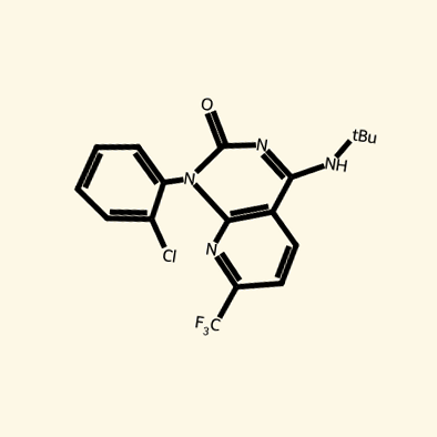 CC(C)(C)Nc1nc(=O)n(-c2ccccc2Cl)c2nc(C(F)(F)F)ccc12